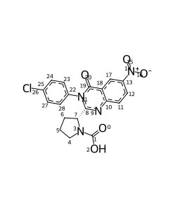 O=C(O)N1CCC[C@@H]1c1nc2ccc([N+](=O)[O-])cc2c(=O)n1-c1ccc(Cl)cc1